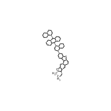 C/C=C\c1c(C)oc2cc3c(ccc4sc5cc(-c6ccc(-c7c8ccccc8c(-c8cccc9ccccc89)c8ccccc78)c7ccccc67)ccc5c43)cc12